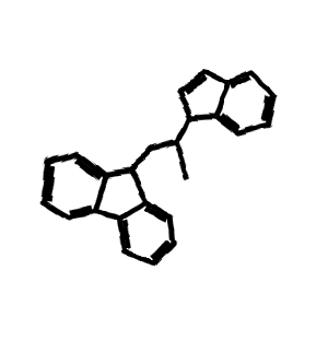 CC(CC1c2ccccc2-c2ccccc21)C1C=Cc2ccccc21